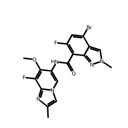 COc1c(NC(=O)c2c(F)cc(Br)c3cn(C)nc23)cn2cc(C)nc2c1F